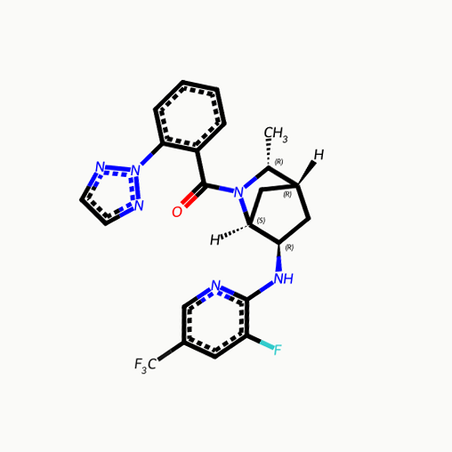 C[C@@H]1[C@@H]2C[C@@H](Nc3ncc(C(F)(F)F)cc3F)[C@H](C2)N1C(=O)c1ccccc1-n1nccn1